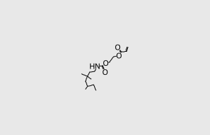 C=CC(=O)OCCOC(=O)NCCC(C)(C)CC(C)CC